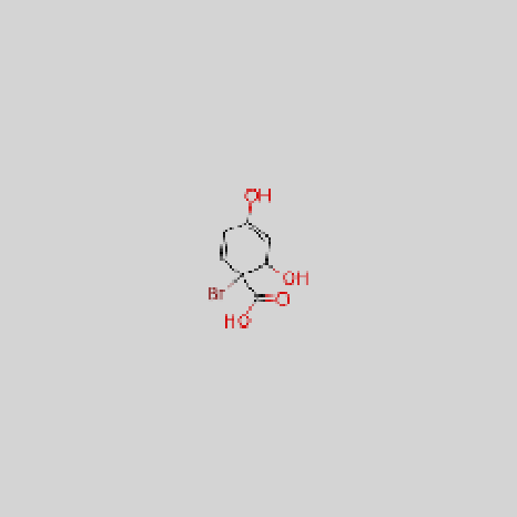 O=C(O)C1(Br)C=CC(O)=CC1O